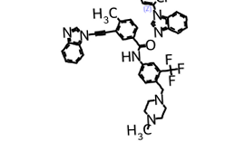 Cc1ccc(C(=O)Nc2ccc(CN3CCN(C)CC3)c(C(F)(F)F)c2)cc1C#Cn1cnc2ccccc21.Cl/C=C(\Cl)n1cnc2ccccc21